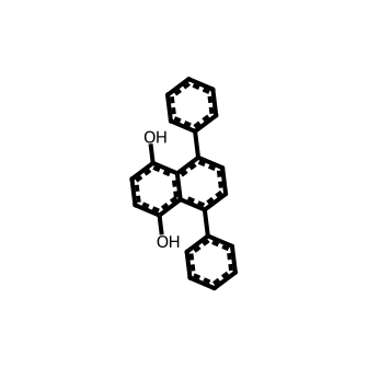 Oc1ccc(O)c2c(-c3ccccc3)ccc(-c3ccccc3)c12